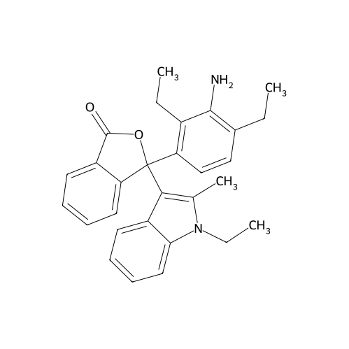 CCc1ccc(C2(c3c(C)n(CC)c4ccccc34)OC(=O)c3ccccc32)c(CC)c1N